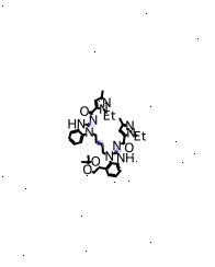 CCn1nc(C)cc1C(=O)/N=c1\[nH]c2ccccc2n1C/C=C/Cn1/c(=N/C(=O)c2cc(C)nn2CC)[nH]c2cccc(C3COC(C)(C)O3)c21